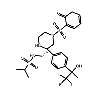 CC(C)S(=O)(=O)NC[C@@]1(c2ccc(C(C)(O)C(F)(F)F)cc2)CN(S(=O)(=O)C2=CC=CCC2=S)CCN1